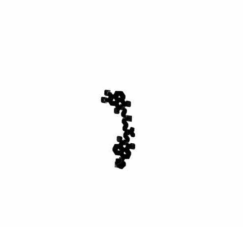 CC(C)N(CCCNCCN1C(=O)c2cccc3c(Cl)c(Cl)cc(c23)C1=O)CCN1C(=O)c2cccc3c(-n4ccnc4)ccc(c23)C1=O